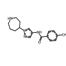 Cc1ccc(C(=O)Nc2cnn(C3CCCNCC3)c2)cc1